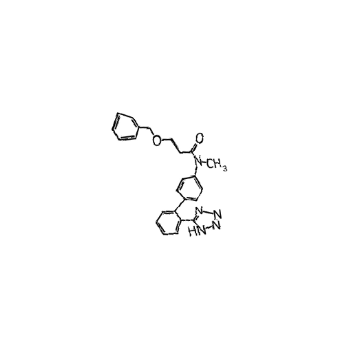 CN(C(=O)CCOCc1ccccc1)c1ccc(-c2ccccc2-c2nnn[nH]2)cc1